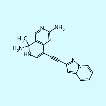 CC1(N)NC=C(C#Cc2cc3ccccn3n2)c2cc(N)ncc21